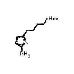 CCCCCCCCCCc1ccc(N)s1